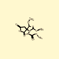 CCCCOC(=O)NN(C(=O)OCCCC)C1(C(C)OC=O)CC(=O)NC1=O